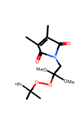 CCCC(C)(C)OOC(CN1C(=O)C(C)=C(C)C1=O)(OC)OC